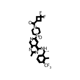 Cc1nc(N[C@H](C)c2cccc(C(F)(F)F)c2C)c2cc(P3(=O)CCN(C(=O)C4CC(F)(F)C4)CC3)ncc2n1